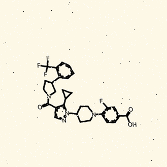 O=C(O)c1ccc(N2CCC(n3ncc(C(=O)N4CCC(c5ccccc5C(F)(F)F)C4)c3C3CC3)CC2)c(F)c1